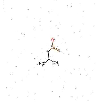 CC(C)C[SH](=O)=S